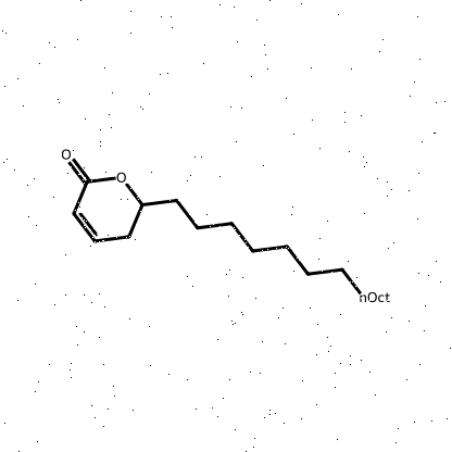 CCCCCCCCCCCCCCCC1CC=CC(=O)O1